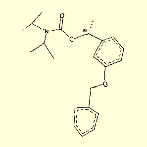 CC(C)N(C(=O)O[C@H](C)c1cccc(OCc2ccccc2)c1)C(C)C